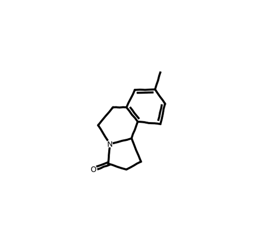 Cc1ccc2c(c1)CCN1C(=O)CCC21